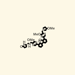 COc1nc(-c2cccc(-c3cccc(-c4cnc(CN5CCC(OC)C5)c(OC)n4)c3Cl)c2Cl)cnc1CNC[C@@H]1CCC(=O)N1